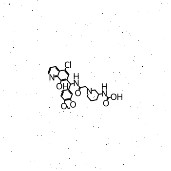 O=C(O)NC1CCCN(CC(=O)NC(c2ccc3c(c2)OCO3)c2cc(Cl)c3cccnc3c2O)C1